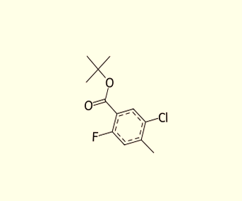 Cc1cc(F)c(C(=O)OC(C)(C)C)cc1Cl